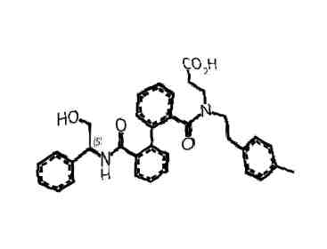 Cc1ccc(CCN(CCC(=O)O)C(=O)c2ccccc2-c2ccccc2C(=O)N[C@H](CO)c2ccccc2)cc1